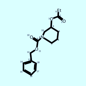 CCC(=O)OC1CCCN(C(=O)OCc2ccccc2)C1